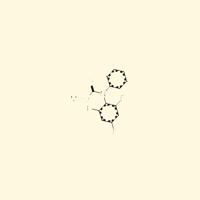 [CH2]OC(=O)N(c1ccccc1)c1c(F)cc(F)cc1F